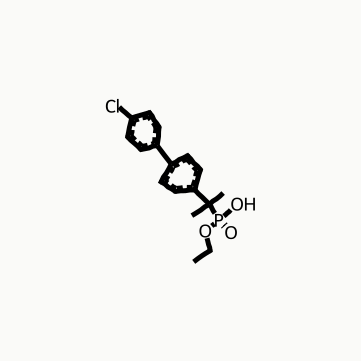 CCOP(=O)(O)C(C)(C)c1ccc(-c2ccc(Cl)cc2)cc1